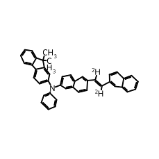 [2H]/C(=C(/[2H])c1ccc2cc(N(c3ccccc3)c3ccc4c(c3)C(C)(C)c3ccccc3-4)ccc2c1)c1ccc2ccccc2c1